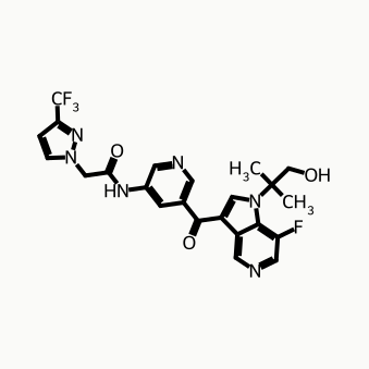 CC(C)(CO)n1cc(C(=O)c2cncc(NC(=O)Cn3ccc(C(F)(F)F)n3)c2)c2cncc(F)c21